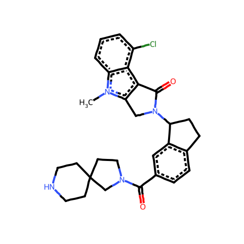 Cn1c2c(c3c(Cl)cccc31)C(=O)N(C1CCc3ccc(C(=O)N4CCC5(CCNCC5)C4)cc31)C2